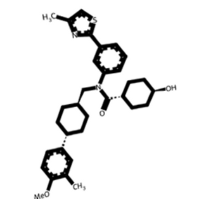 COc1ccc([C@H]2CC[C@H](CN(c3cccc(-c4nc(C)cs4)c3)C(=O)[C@H]3CC[C@H](O)CC3)CC2)cc1C